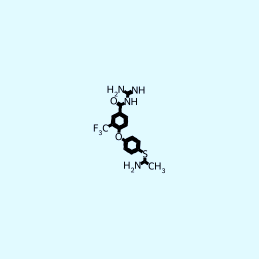 CC(N)Sc1ccc(Oc2ccc(C(=O)NC(=N)N)cc2C(F)(F)F)cc1